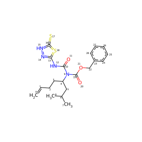 C=CCCC(CC(C)C)N(C(=O)Nc1n[nH]c(=S)s1)C(=O)OCc1ccccc1